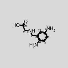 Nc1ccc(N)c(CNCC(=O)O)c1